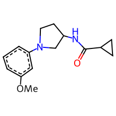 COc1cccc(N2CCC(NC(=O)C3CC3)C2)c1